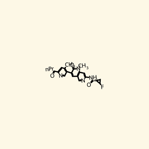 CCCC(=O)c1cc(C)c(-c2cc3cnc(NC(=O)[C@H]4CC4F)cc3n(C)c2=O)cn1